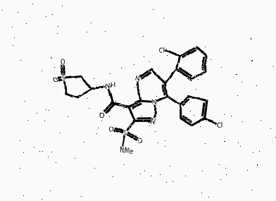 CNS(=O)(=O)c1nn2c(-c3ccc(Cl)cc3)c(-c3ccccc3Cl)cnc2c1C(=O)NC1CCS(=O)(=O)C1